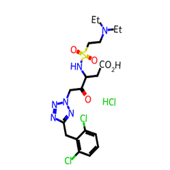 CCN(CC)CCS(=O)(=O)NC(CC(=O)O)C(=O)Cn1nnc(Cc2c(Cl)cccc2Cl)n1.Cl